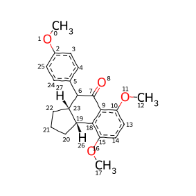 COc1ccc(C2C(=O)c3c(OC)ccc(OC)c3[C@@H]3CCC[C@H]23)cc1